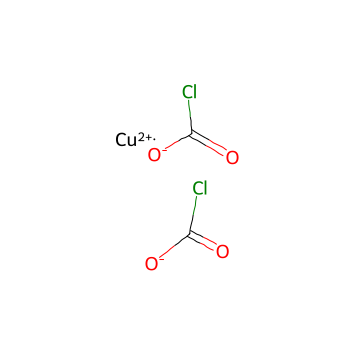 O=C([O-])Cl.O=C([O-])Cl.[Cu+2]